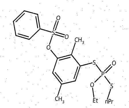 CCCSP(=O)(OCC)Sc1cc(C)cc(OS(=O)(=O)c2ccccc2)c1C